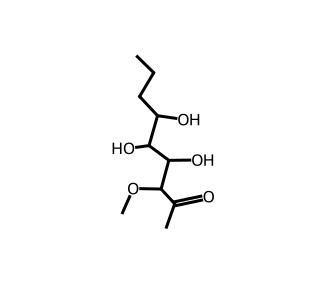 CCCC(O)C(O)C(O)C(OC)C(C)=O